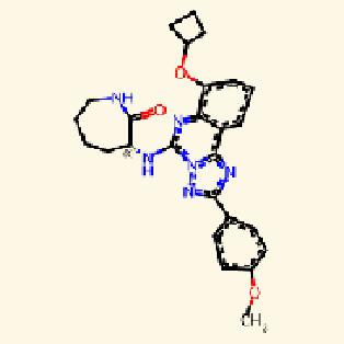 COc1ccc(-c2nc3c4cccc(OC5CCC5)c4nc(N[C@@H]4CCCCNC4=O)n3n2)cc1